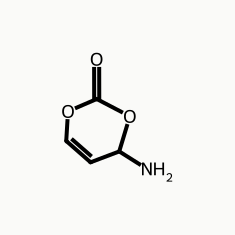 NC1C=COC(=O)O1